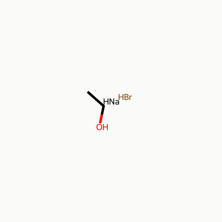 Br.CCO.[NaH]